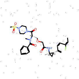 C=C(/C=C\C(F)=C/C)[C@@H]1C[C@@]1(C)NC(=O)COC[C@@H](C(=O)N1CCN(S(C)(=O)=O)CC1)N(C)C(=O)c1ccccc1